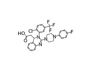 O=C(O)CC1c2ccccc2N=C(N2CCN(c3ccc(F)cc3)CC2)N1c1cc(C(F)(F)F)ccc1Cl